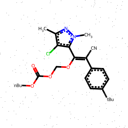 CCCCOC(=O)OCO/C(=C(/C#N)c1ccc(C(C)(C)C)cc1)c1c(Cl)c(C)nn1C